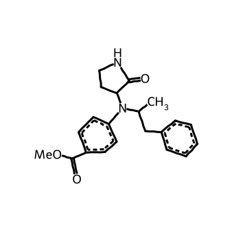 COC(=O)c1ccc(N(C(C)Cc2ccccc2)C2CCNC2=O)cc1